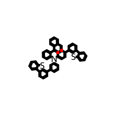 c1cc(-c2cccc3c2sc2ccccc23)cc(N(c2ccc(-c3cccc4c3sc3ccccc34)cc2)c2ccccc2-c2cccc3ccccc23)c1